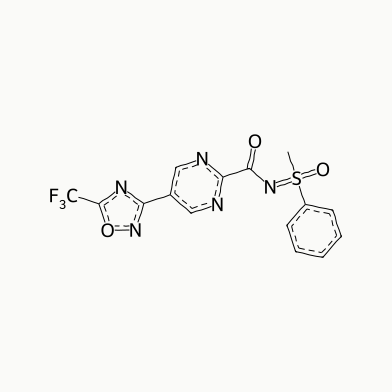 CS(=O)(=NC(=O)c1ncc(-c2noc(C(F)(F)F)n2)cn1)c1ccccc1